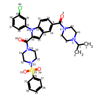 CC(C)N1CCN(C(=O)c2ccc3c(c2)cc(C(=O)N2CCN(S(=O)(=O)c4ccccc4)CC2)n3-c2cccc(Cl)c2)CC1